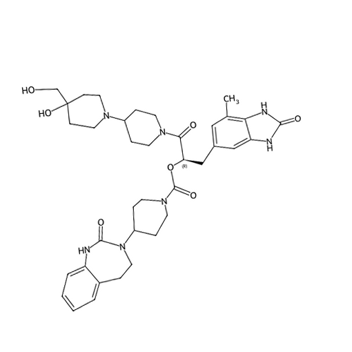 Cc1cc(C[C@@H](OC(=O)N2CCC(N3CCc4ccccc4NC3=O)CC2)C(=O)N2CCC(N3CCC(O)(CO)CC3)CC2)cc2[nH]c(=O)[nH]c12